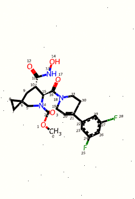 COC(=O)N1CC2(CC2)C[C@H](C(=O)NO)[C@H]1C(=O)N1CC=C(c2cc(F)cc(F)c2)CC1